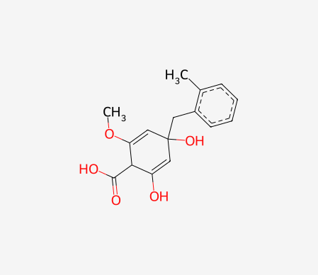 COC1=CC(O)(Cc2ccccc2C)C=C(O)C1C(=O)O